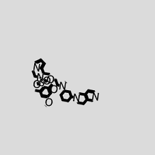 COc1cc(C)c(S(=O)(=O)N2CCn3cccc3C2COCC(=O)N(C)C2CCCC(N3CCc4cnccc4C3)C2)c(C)c1